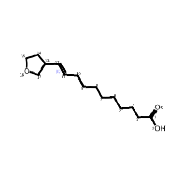 O=C(O)CCCCCCCC/C=C/C1CCOC1